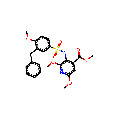 COC(=O)c1cc(OC)nc(OC)c1NS(=O)(=O)c1ccc(OC)c(Cc2ccccc2)c1